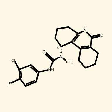 CN(C(=O)Nc1ccc(F)c(Cl)c1)[C@@H]1CCCc2[nH]c(=O)c3c(c21)CCCC3